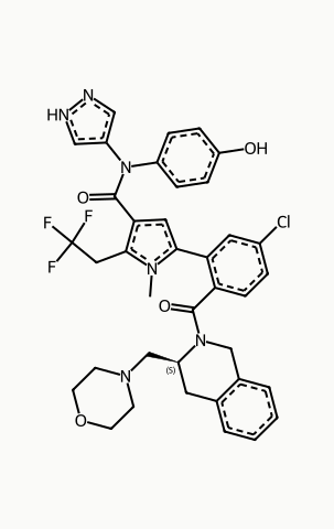 Cn1c(-c2cc(Cl)ccc2C(=O)N2Cc3ccccc3C[C@H]2CN2CCOCC2)cc(C(=O)N(c2ccc(O)cc2)c2cn[nH]c2)c1CC(F)(F)F